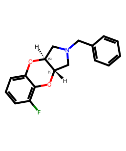 Fc1cccc2c1O[C@H]1CN(Cc3ccccc3)C[C@@H]1O2